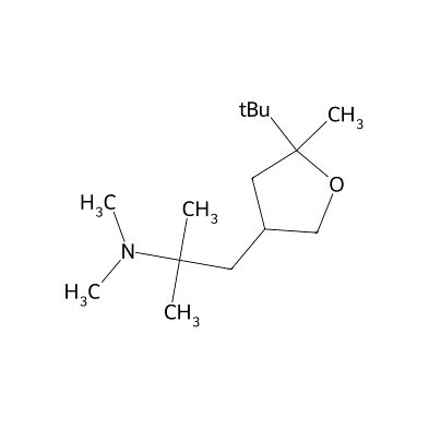 CN(C)C(C)(C)CC1COC(C)(C(C)(C)C)C1